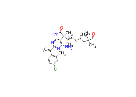 C=C(CC(C)(C)C=O)S/C=C(\C)C1(C)C(=O)Nc2nc(C(=C)c3ccc(Cl)cc3C)nc(N)c21